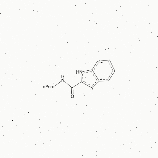 CCCCCNC(=O)c1nc2ccccc2[nH]1